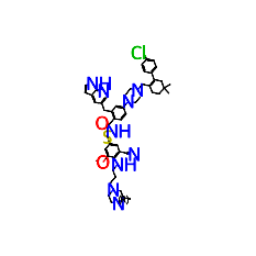 COc1cc(SNC(=O)c2ccc(N3CCN(CC4=C(c5ccc(Cl)cc5)CC(C)(C)CC4)CC3)cc2Cc2cnc3[nH]ccc3c2)cc(C#N)c1NCCCN1CCN(C)[C@H](C)C1